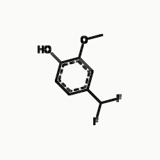 COc1cc(C(F)F)ccc1O